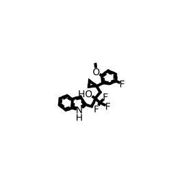 COc1ccc(F)cc1C1(CC(O)(Cc2cc3ccccc3[nH]2)C(F)(F)F)CC1